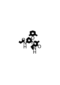 C=CC(=O)Nc1ccc(Oc2c(C)cccc2C)c(-n2cc(C)c(=O)c3[nH]ccc32)c1